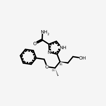 C[C@H](OCc1ccccc1)[C@H](CCO)c1nc(C(N)=O)c[nH]1